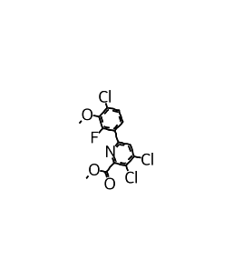 COC(=O)c1nc(-c2ccc(Cl)c(OC)c2F)cc(Cl)c1Cl